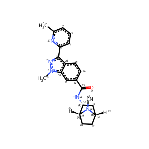 Cc1cccc(-c2nn(C)c3cc(C(=O)N[C@@H]4C[C@@H]5CC[C@H]4N5C#N)ccc23)n1